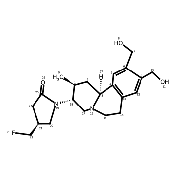 C[C@H]1C[C@H]2c3cc(CO)c(CO)cc3CCN2C[C@@H]1N1C[C@@H](CF)CC1=O